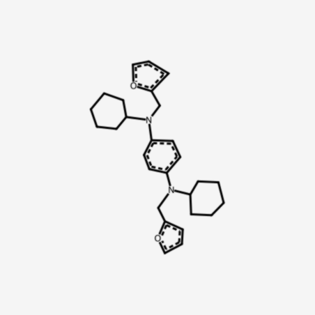 c1coc(CN(c2ccc(N(Cc3ccco3)C3CCCCC3)cc2)C2CCCCC2)c1